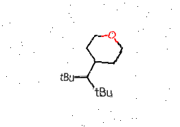 CC(C)(C)C(C1CCOCC1)C(C)(C)C